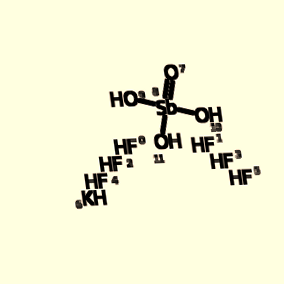 F.F.F.F.F.F.[KH].[O]=[Sb]([OH])([OH])[OH]